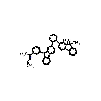 C=C/C=C(\C)c1cccc(-n2c3ccccc3c3ccc(-c4ccccc4-c4ccc5c(c4)C(C)(C)c4ccccc4-5)cc32)c1